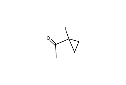 O=C(I)C1(I)CC1